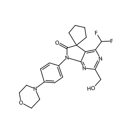 O=C1N(c2ccc(N3CCOCC3)cc2)c2nc(CO)nc(C(F)F)c2C12CCCC2